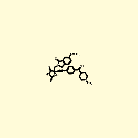 COc1ccc2c(c1)C(=O)N(C[C@@]1(C#Cc3ccc(C(=N)C4CCN(C)CC4)cc3)NC(=O)NC1=O)C2